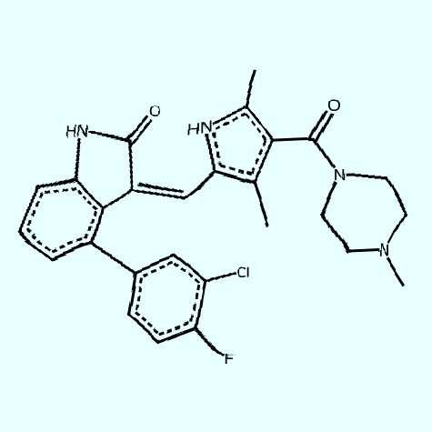 Cc1[nH]c(C=C2C(=O)Nc3cccc(-c4ccc(F)c(Cl)c4)c32)c(C)c1C(=O)N1CCN(C)CC1